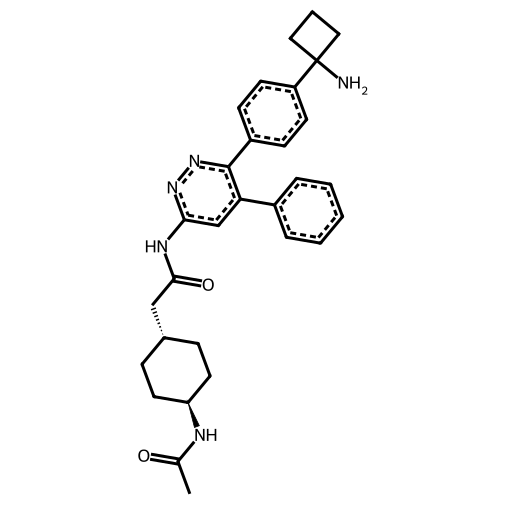 CC(=O)N[C@H]1CC[C@H](CC(=O)Nc2cc(-c3ccccc3)c(-c3ccc(C4(N)CCC4)cc3)nn2)CC1